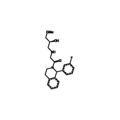 COC[C@@H](O)CNCC(=O)N1CCc2ccccc2C1c1cccc(F)c1